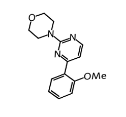 COc1ccccc1-c1ccnc(N2CCOCC2)n1